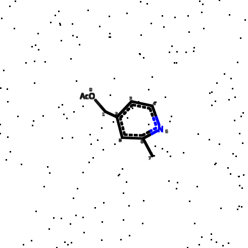 CC(=O)OCc1ccnc(C)c1